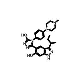 CCC(C)c1n[nH]c2cc(O)c(-c3nnc(O)n3-c3ccc(N4CCN(C)CC4)cc3)cc12